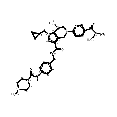 C[C@H]1CN(c2ccc(C(=O)N(C)C)cn2)Cc2c(C(=O)NCc3ccc(NC(=O)N4CCN(C)CC4)cc3)nn(CC3CC3)c21